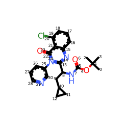 CC(C)(C)OC(=O)NC(CC1CC1)c1nc2cccc(Cl)c2c(=O)n1-c1cccnc1